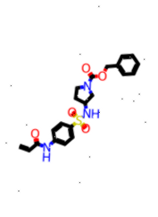 C=CC(=O)Nc1ccc(S(=O)(=O)NC2CCN(C(=O)OCc3ccccc3)C2)cc1